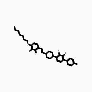 CCCCCCCOc1ccc(/C=C/C2CCC(c3ccc(-c4ccc(C)cc4)c(F)c3F)CC2)c(F)c1F